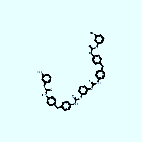 C=C(Nc1ccc(Cc2ccc(NC(=O)Oc3cccc(OC(=O)Nc4ccc(Cc5ccc(NC(=O)Oc6cccc(O)c6)cc5)cc4)c3)cc2)cc1)Oc1cccc(O)c1